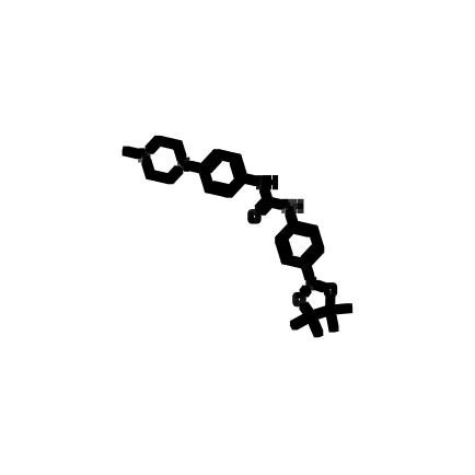 CN1CCN(c2ccc(NC(=O)Nc3ccc(B4OC(C)(C)C(C)(C)O4)cc3)cc2)CC1